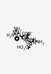 CC(C)(O/N=C(\C(=O)NC1C(=O)N2C(C(=O)[O-])=C(CSc3nc(N)nc(N)[n+]3-c3ccccc3)CS[C@@H]12)c1csc(N)n1)C(=O)O